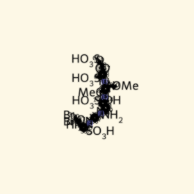 COC=Nc1cc(/N=N/c2c(S(=O)(=O)O)cc3c(/N=N/c4ccc(/N=N/c5cc(NC(=O)C(Br)CBr)ccc5S(=O)(=O)O)cc4)c(N)ccc3c2O)c(OC)cc1/N=N/c1ccc(S(=O)(=O)CCOS(=O)(=O)O)cc1S(=O)(=O)O